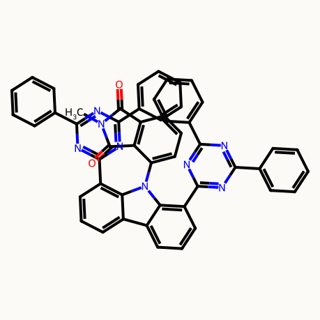 CN1C(=O)c2cccc(-n3c4c(-c5nc(-c6ccccc6)nc(-c6ccccc6)n5)cccc4c4cccc(-c5nc(-c6ccccc6)nc(-c6ccccc6)n5)c43)c2C1=O